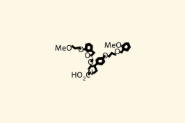 COCCCOc1cccc2c1O[C@@H](CO[C@@H]1CN(C(=O)O)CCC1c1ccc(OCCCOCc3ccccc3OC)cc1)C2